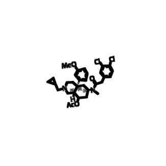 COc1cccc([C@@]23CCN(CC4CC4)C[C@H]2C(OC(C)=O)C[C@@H](N(C)C(=O)Cc2ccc(Cl)c(Cl)c2)C3)c1